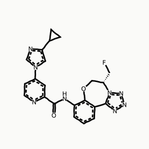 O=C(Nc1cccc2c1OC[C@H](CF)n1nnnc1-2)c1cc(-n2cnc(C3CC3)c2)ccn1